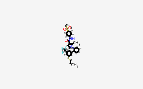 CCCSc1cc(-c2ccccc2-n2c(C)cc(C(=O)Nc3ccc(S(C)(=O)=O)cc3)c2C)cc(C(F)(F)F)c1